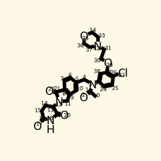 CC(=O)N(Cc1ccc2c(c1)CN(C1CCC(=O)NC1=O)C2=O)c1ccc(Cl)c(OCCN2CCOCC2)c1